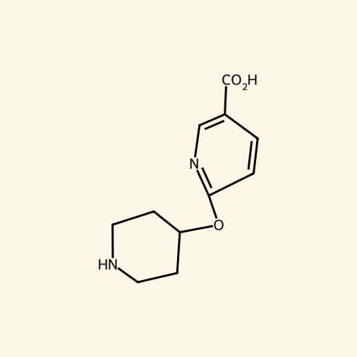 O=C(O)c1ccc(OC2CCNCC2)nc1